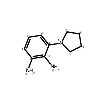 Nc1cccc(N2CCCC2)c1N